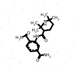 CC1(C)CCC(C(=O)Nc2cc(C(N)=O)ccc2C(N)=O)C(C)(C)N1